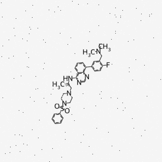 C[C@@H](CN1CCN(S(=O)(=O)c2ccccc2)CC1)Nc1ncnc2c(-c3ccc(F)c(CN(C)C)c3)cccc12